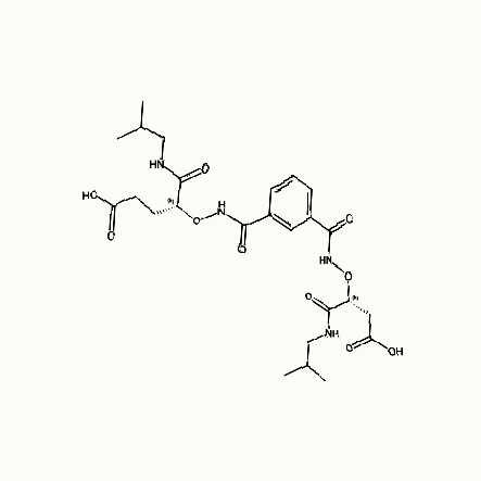 CC(C)CNC(=O)[C@@H](CCC(=O)O)ONC(=O)c1cccc(C(=O)NO[C@H](CC(=O)O)C(=O)NCC(C)C)c1